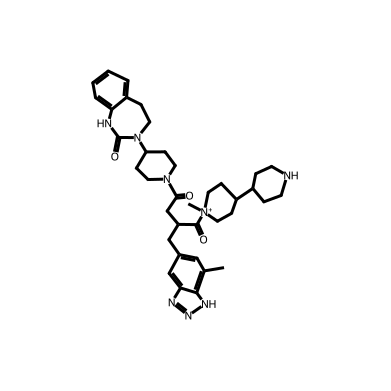 Cc1cc(CC(CC(=O)N2CCC(N3CCc4ccccc4NC3=O)CC2)C(=O)[N+]2(C)CCC(C3CCNCC3)CC2)cc2nn[nH]c12